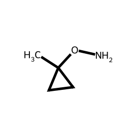 CC1(ON)CC1